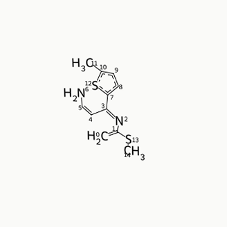 C=C(/N=C(\C=C/N)c1ccc(C)s1)SC